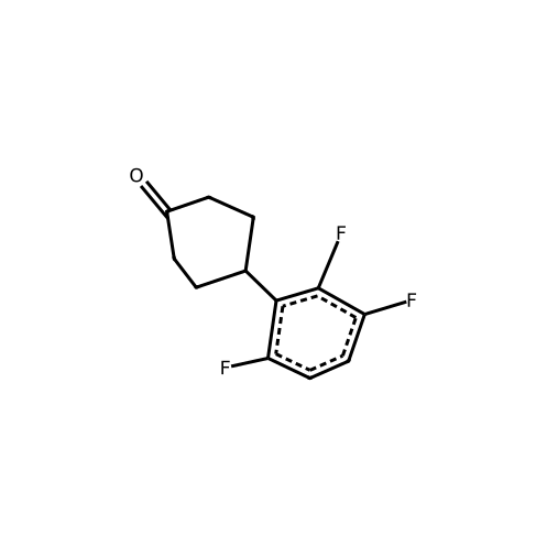 O=C1CCC(c2c(F)ccc(F)c2F)CC1